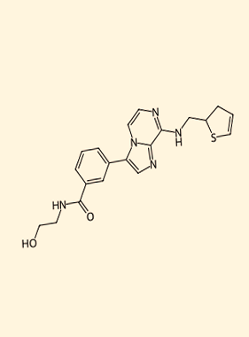 O=C(NCCO)c1cccc(-c2cnc3c(NCC4CC=CS4)nccn23)c1